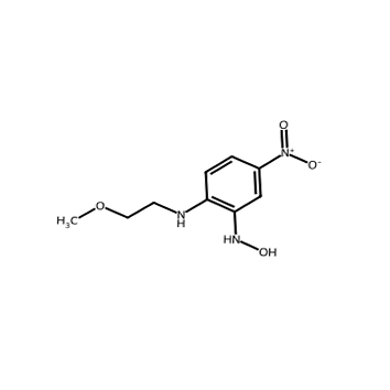 COCCNc1ccc([N+](=O)[O-])cc1NO